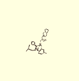 Cc1ccc2c(c1)CN(C[C@H](O)CN1CCc3ccccc3C1)C(=O)N2CC(C)C